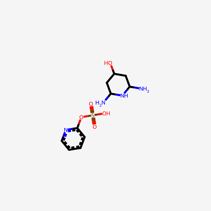 NC1CC(O)CC(N)N1.O=S(=O)(O)Oc1ccccn1